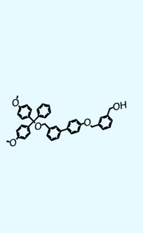 COc1ccc(C(OCc2cccc(-c3ccc(OCc4cccc(CO)c4)cc3)c2)(c2ccccc2)c2ccc(OC)cc2)cc1